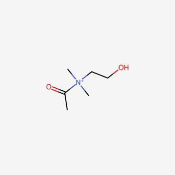 CC(=O)[N+](C)(C)CCO